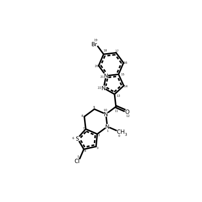 CN1c2cc(Cl)sc2CCN1C(=O)c1cc2ccc(Br)cn2n1